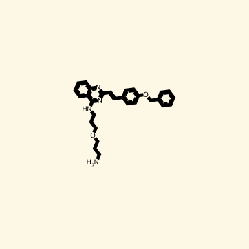 NCCCOCCCNc1nc(/C=C/c2ccc(OCc3ccccc3)cc2)nc2ccccc12